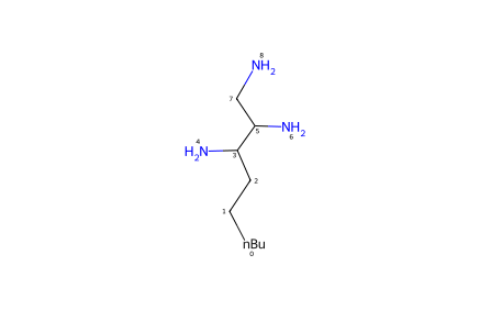 CCCCCCC(N)C(N)CN